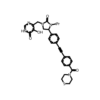 CC(C)N1C(=O)N(Cc2nc[nH]c(=O)c2O)CC1c1ccc(C#Cc2ccc(C(=O)N3CCSCC3)cc2)cc1